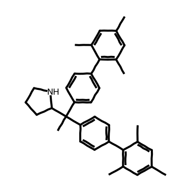 Cc1cc(C)c(-c2ccc(C(C)(c3ccc(-c4c(C)cc(C)cc4C)cc3)C3CCCN3)cc2)c(C)c1